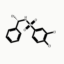 CC[C@H](NS(=O)(=O)c1ccc(Cl)c(Cl)c1)c1ccccc1